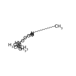 CCCCCCCCCCCCCCCCCCCCn1cc(COCCOCCOCCNc2nc(C(C)C)nc(C(C)C)n2)nn1